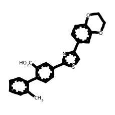 Cc1ccccc1-c1ccc(-c2nc(-c3ccc4c(c3)OCCO4)cs2)cc1C(=O)O